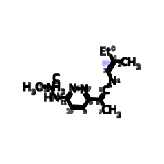 CC/C(C)=C/N=C=C(C)c1ccc(NN(C)C)nn1